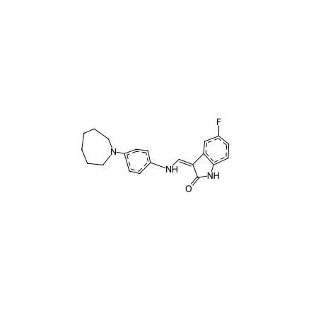 O=C1Nc2ccc(F)cc2C1=CNc1ccc(N2CCCCCC2)cc1